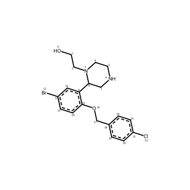 OCCN1CCNCC1c1cc(Br)ccc1OCc1ccc(Cl)cc1